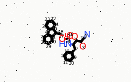 N#CC(=O)C(O)C(Cc1ccccc1)NC(=O)OCC1c2ccccc2-c2ccccc21